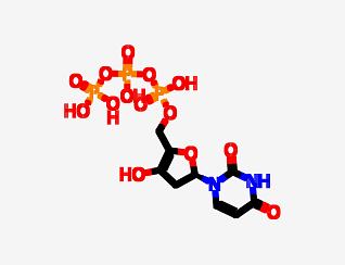 O=c1ccn([C@H]2CC(O)=C(COP(=O)(O)OP(=O)(O)OP(=O)(O)O)O2)c(=O)[nH]1